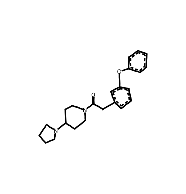 O=C([CH]c1cccc(Oc2ccccc2)c1)N1CCC(N2CCCC2)CC1